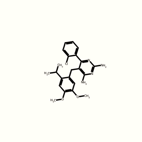 COc1cc(Cc2c(N)nc(N)nc2-c2ccccc2Cl)c(C(C)C)cc1OC